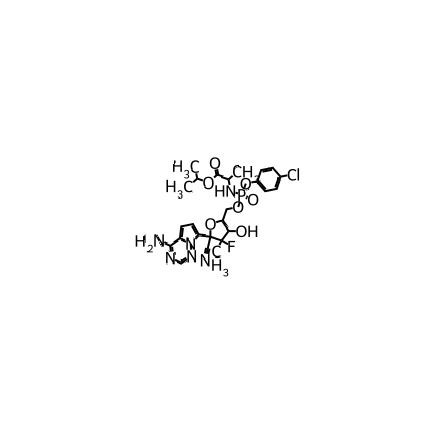 CC(C)OC(=O)C(C)NP(=O)(OCC1OC(C#N)(c2ccc3c(N)ncnn23)C(C)(F)C1O)Oc1ccc(Cl)cc1